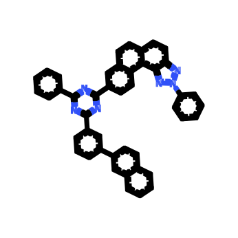 c1ccc(-c2nc(-c3cccc(-c4ccc5ccccc5c4)c3)nc(-c3ccc4c(ccc5ccc6nn(-c7ccccc7)nc6c54)c3)n2)cc1